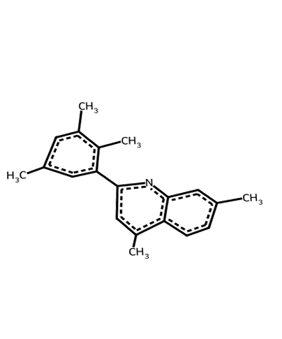 Cc1cc(C)c(C)c(-c2cc(C)c3ccc(C)cc3n2)c1